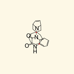 O=c1[nH]c2ccccc2n(C2CC3C=CC(C2)N3C2/C=C\CCCCC2)c1=O